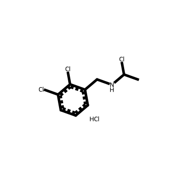 CC(Cl)NCc1cccc(Cl)c1Cl.Cl